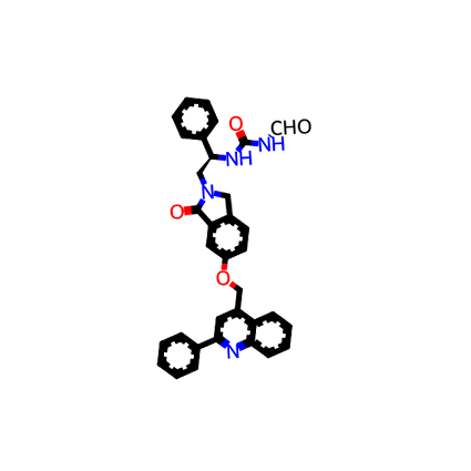 O=CNC(=O)N[C@@H](CN1Cc2ccc(OCc3cc(-c4ccccc4)nc4ccccc34)cc2C1=O)c1ccccc1